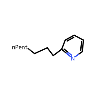 CCCCCCCCc1[c]cccn1